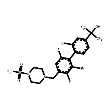 CC(C)c1c(F)c(CN2CCN(S(C)(=O)=O)CC2)cc(F)c1-c1ccc(C(O)(C(F)(F)F)C(F)(F)F)cc1Cl